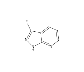 Fc1n[nH]c2ncccc12